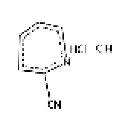 Cl.Cl.N#Cc1ccccn1